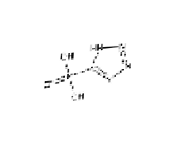 O=P(O)(O)c1nnn[nH]1